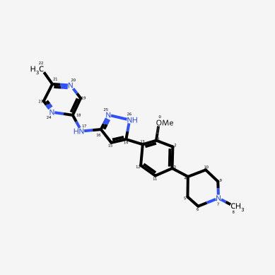 COc1cc(C2CCN(C)CC2)ccc1-c1cc(Nc2cnc(C)cn2)n[nH]1